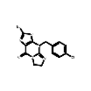 CCc1nc2c([nH]1)N(Cc1ccc(Cl)cc1)C1=NCCN1C2=O